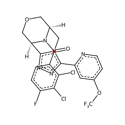 O=C(c1ccc(F)c(Cl)c1Cl)N1[C@H]2COC[C@@H]1c1nnc(-c3cc(OC(F)(F)F)ccn3)n1C2